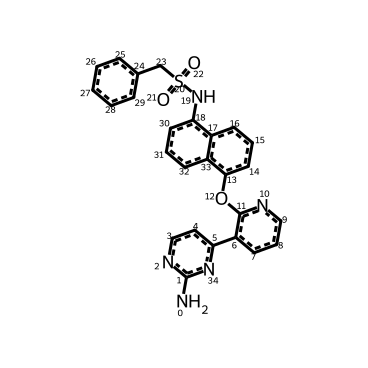 Nc1nccc(-c2cccnc2Oc2cccc3c(NS(=O)(=O)Cc4ccccc4)cccc23)n1